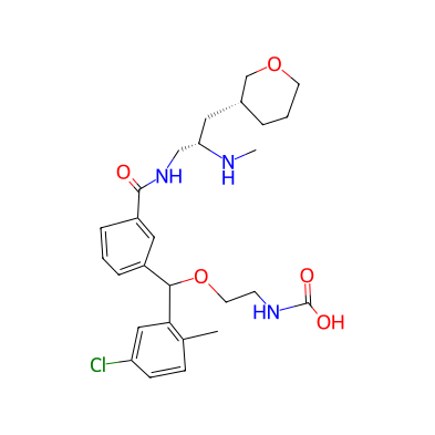 CN[C@H](CNC(=O)c1cccc(C(OCCNC(=O)O)c2cc(Cl)ccc2C)c1)C[C@H]1CCCOC1